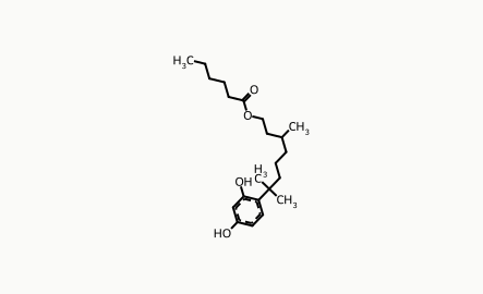 CCCCCC(=O)OCCC(C)CCCC(C)(C)c1ccc(O)cc1O